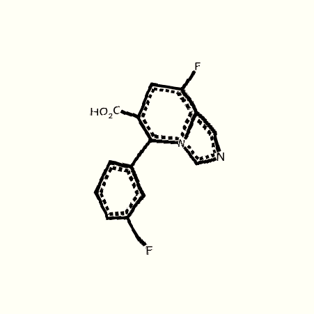 O=C(O)c1cc(F)c2cncn2c1-c1cccc(F)c1